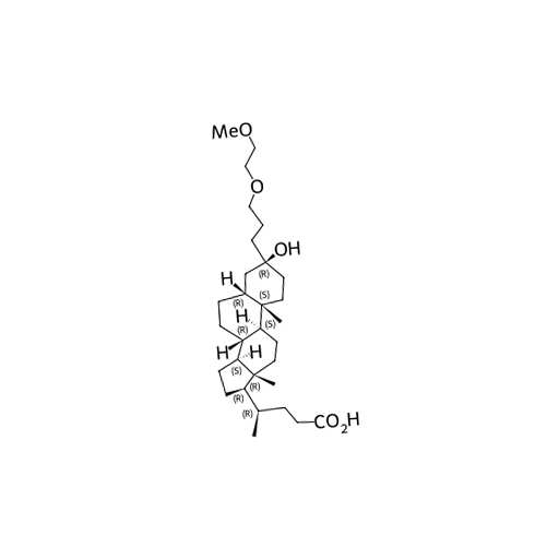 COCCOCCC[C@]1(O)CC[C@@]2(C)[C@H](CC[C@@H]3[C@@H]2CC[C@]2(C)[C@@H]([C@H](C)CCC(=O)O)CC[C@@H]32)C1